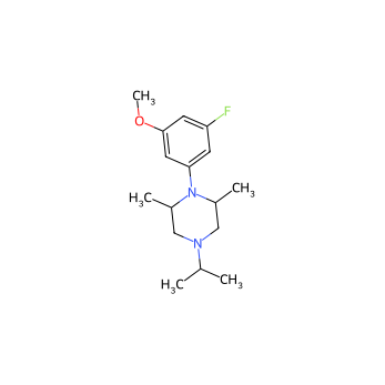 COc1cc(F)cc(N2C(C)CN(C(C)C)CC2C)c1